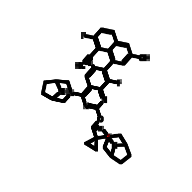 C#Cc1c(F)ccc2cc(O)cc(-c3c(F)cc4c(N5CC6CCC(C5)N6)nc(OCC5(CN6C7CCC6CN(C(C)=O)C7)CC5)nc4c3F)c12